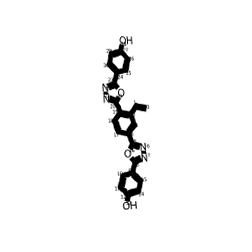 C=Cc1cc(-c2nnc(-c3ccc(O)cc3)o2)ccc1-c1nnc(-c2ccc(O)cc2)o1